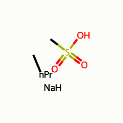 CCCC.CS(=O)(=O)O.[NaH]